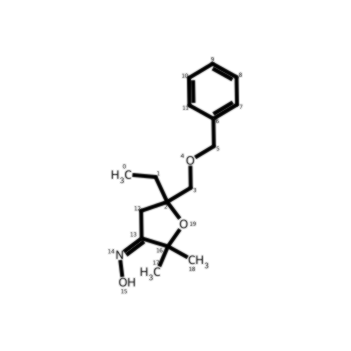 CCC1(COCc2ccccc2)C/C(=N/O)C(C)(C)O1